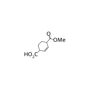 COC(=O)C1C=CC(C(=O)O)CC1